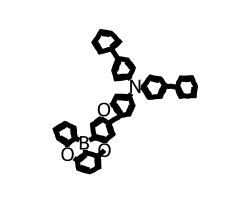 c1ccc(-c2ccc(N(c3ccc(-c4ccccc4)cc3)c3ccc4c(c3)oc3cc5c(cc34)Oc3cccc4c3B5c3ccccc3O4)cc2)cc1